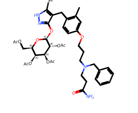 CC(=O)OC[C@H]1O[C@@H](Oc2n[nH]c(C(C)C)c2Cc2ccc(OCCCN(CCC(N)=O)Cc3ccccc3)cc2C)[C@H](OC(C)=O)[C@@H](OC(C)=O)[C@H]1OC(C)=O